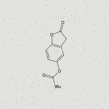 CC(C)(C)C(=O)Oc1ccc2c(c1)CC(=O)O2